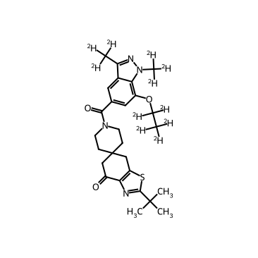 [2H]C([2H])([2H])c1nn(C([2H])([2H])[2H])c2c(OC([2H])([2H])C([2H])([2H])[2H])cc(C(=O)N3CCC4(CC3)CC(=O)c3nc(C(C)(C)C)sc3C4)cc12